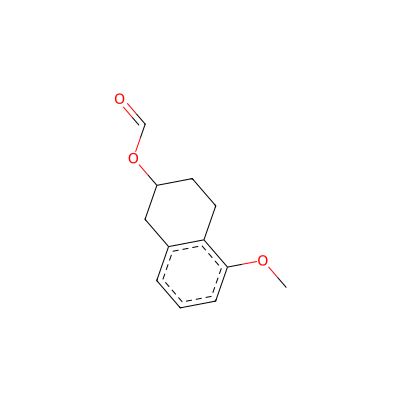 COc1cccc2c1CCC(OC=O)C2